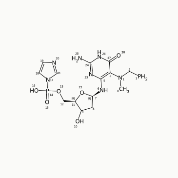 CN(CP)c1c(N[C@H]2CC(O)[C@@H](COP(=O)(O)n3ccnc3)O2)nc(N)[nH]c1=O